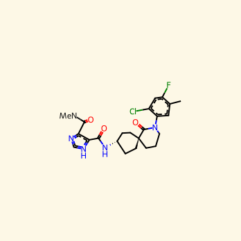 CNC(=O)c1nc[nH]c1C(=O)N[C@H]1CC[C@@]2(CCCN(c3cc(C)c(F)cc3Cl)C2=O)CC1